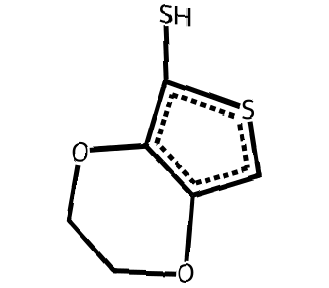 Sc1scc2c1OCCO2